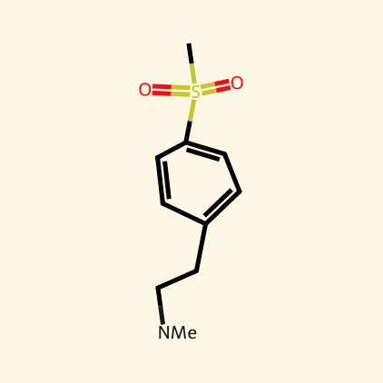 CNCCc1ccc(S(C)(=O)=O)cc1